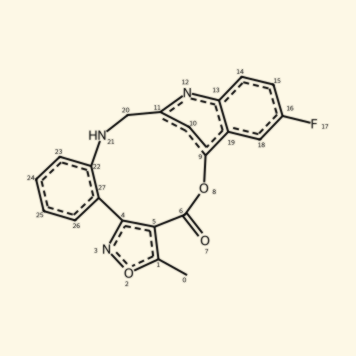 Cc1onc2c1C(=O)Oc1cc(nc3ccc(F)cc13)CNc1ccccc1-2